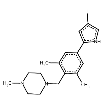 Cc1cc(-c2cc(I)c[nH]2)cc(C)c1CN1CCN(C)CC1